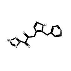 O=C(Cc1cc[nH]c1Cc1ccncc1)C(=O)c1nc[nH]n1